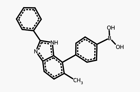 Cc1ccc2nc(-c3ccccc3)[nH]c2c1-c1ccc(B(O)O)cc1